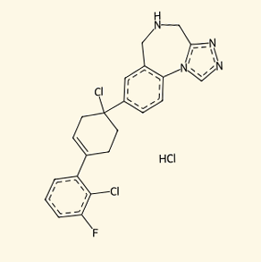 Cl.Fc1cccc(C2=CCC(Cl)(c3ccc4c(c3)CNCc3nncn3-4)CC2)c1Cl